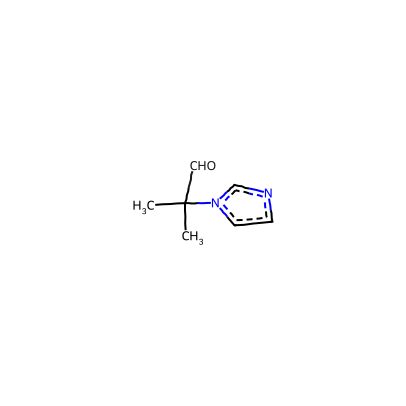 CC(C)(C=O)n1ccnc1